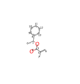 [CH2]C(OC(=O)C(=C)C)c1ccccc1